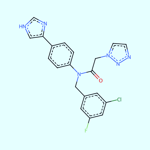 O=C(Cn1ccnn1)N(Cc1cc(F)cc(Cl)c1)c1ccc(-c2c[nH]cn2)cc1